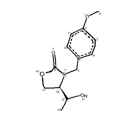 COc1ccc(CN2C(=O)OC[C@@H]2C(C)O)cc1